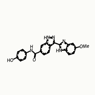 COc1ccc2[nH]c(-c3n[nH]c4cc(C(=O)Nc5ccc(O)cc5)ccc34)nc2c1